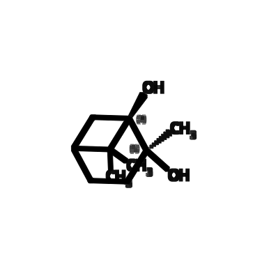 CC1(C)C2CC[C@](C)(O)[C@@]1(O)C2